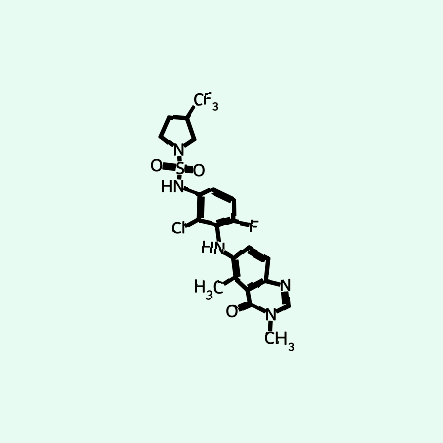 Cc1c(Nc2c(F)ccc(NS(=O)(=O)N3CCC(C(F)(F)F)C3)c2Cl)ccc2ncn(C)c(=O)c12